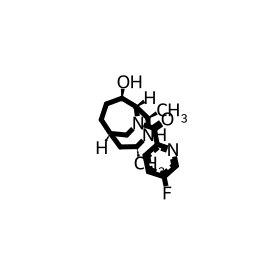 C[C@@H]1C[C@H]2CC[C@@H](O)[C@H]([C@@H](C)N1)N(C(=O)c1ccc(F)cn1)C2